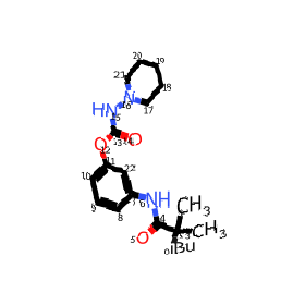 CCC(C)C(C)(C)C(=O)Nc1cccc(OC(=O)NN2CCCCC2)c1